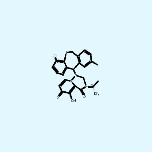 C[C@@H](N1CN(C2c3cc(F)ccc3CSc3c(Cl)cccc32)n2ccc(=O)c(O)c2C1=O)C(F)(F)F